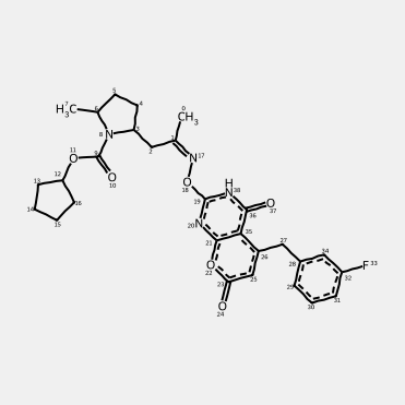 C/C(CC1CCC(C)N1C(=O)OC1CCCC1)=N/Oc1nc2oc(=O)cc(Cc3cccc(F)c3)c2c(=O)[nH]1